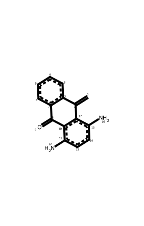 C=C1c2ccccc2C(=O)c2c(N)ccc(N)c21